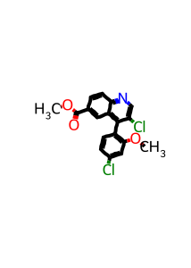 COC(=O)c1ccc2ncc(Cl)c(-c3ccc(Cl)cc3OC)c2c1